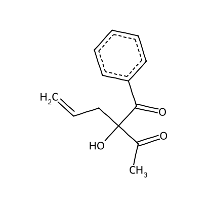 C=CCC(O)(C(C)=O)C(=O)c1ccccc1